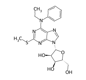 CCN(c1ccccc1)c1nc(SC)nc2c1ncn2[C@@H]1O[C@H](CO)[C@@H](O)[C@H]1O